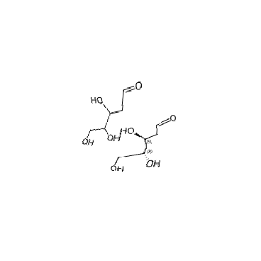 O=CCC(O)C(O)CO.O=CC[C@H](O)[C@H](O)CO